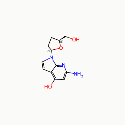 Nc1cc(O)c2ccn([C@@H]3CC[C@@H](CO)O3)c2n1